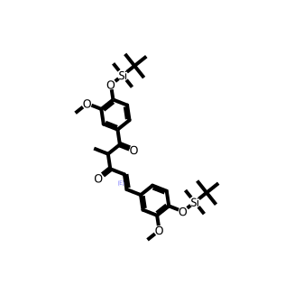 COc1cc(/C=C/C(=O)C(C)C(=O)c2ccc(O[Si](C)(C)C(C)(C)C)c(OC)c2)ccc1O[Si](C)(C)C(C)(C)C